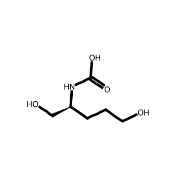 O=C(O)N[C@H](CO)CCCO